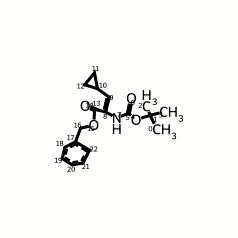 CC(C)(C)OC(=O)NC(=CC1CC1)C(=O)OCc1ccccc1